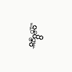 O=C(Oc1ccc(OC(=O)c2cccc(F)c2F)c2cc3ccccc3cc12)c1cccc(F)c1F